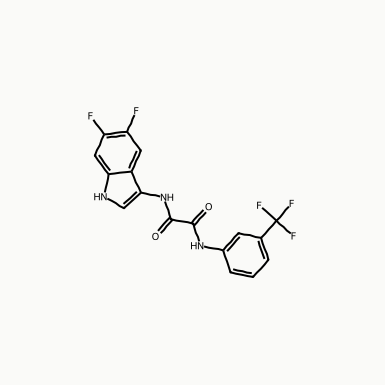 O=C(Nc1cccc(C(F)(F)F)c1)C(=O)Nc1c[nH]c2cc(F)c(F)cc12